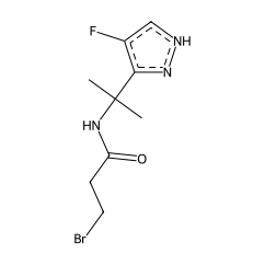 CC(C)(NC(=O)CCBr)c1n[nH]cc1F